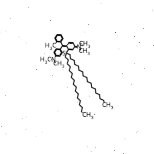 CCCCCCCCCCCCCCCCCC[Si]1(CCCCCCCCCCCCCCCCCC)C2=CC(=[N+](C)C)C=CC2=C(c2ccccc2C)c2ccc(N(C)C)cc21